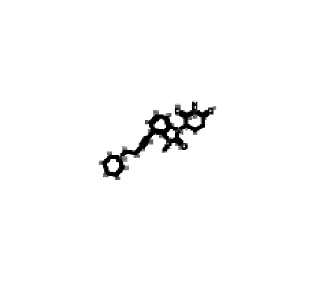 Cn1c(=O)n(C2CCC(=O)NC2=O)c2cccc(C#CCCN3CC[CH]CC3)c21